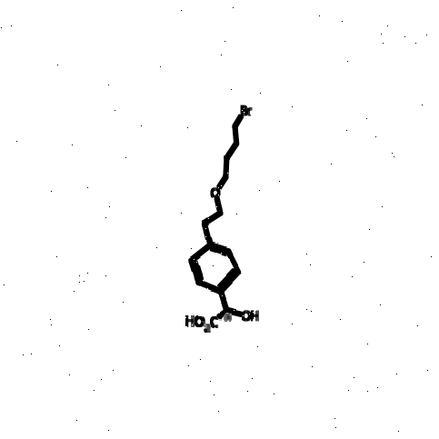 O=C(O)[C@H](O)c1ccc(CCOCCCCBr)cc1